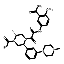 COc1ncc(NC(=O)C(=O)N2C[C@@H](C)N(C(=O)C(C)C)C[C@@H]2c2cccc(N3CCN(C)CC3)c2)cc1C(N)=O